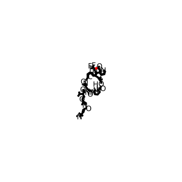 CO[C@@H](C)c1ncccc1-c1c2c3cc(ccc3n1CC(F)(F)F)-c1nc(co1)C[C@H](NC(=O)C(COC1CN(C(=O)C#CC(C)(C)N(C)C)C1)C(C)C)C(=O)N1CCC[C@H](N1)C(=O)OCC(C)(C)C2